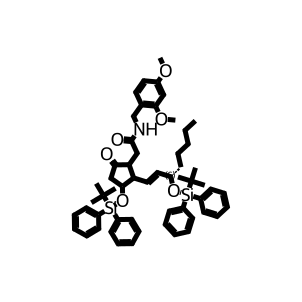 CCCCC[C@@H](C=CC1C(O[Si](c2ccccc2)(c2ccccc2)C(C)(C)C)CC(=O)C1CC(=O)NCc1ccc(OC)cc1OC)O[Si](c1ccccc1)(c1ccccc1)C(C)(C)C